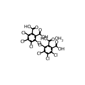 O.O=C(O)c1c(Cl)c(Cl)c(Cl)c(Cl)c1C(=O)O.O=C(O)c1c(Cl)c(Cl)c(Cl)c(Cl)c1C(=O)O